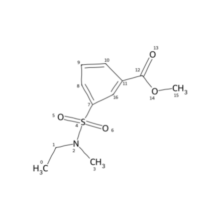 CCN(C)S(=O)(=O)c1cccc(C(=O)OC)c1